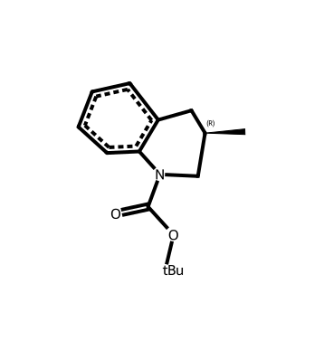 C[C@@H]1Cc2ccccc2N(C(=O)OC(C)(C)C)C1